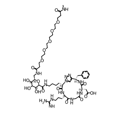 CNC(=O)CCOCCOCCOCCOCCOCCC(=O)NC[C@H]1OC(C(=O)NCCCC[C@H]2C(=O)N[C@@H](CCCNC(=N)N)C(=O)NCC(=O)N[C@@H](CC(=O)O)C(=O)N[C@@H](Cc3ccccc3)c3cn2nn3)[C@@H](O)C(O)[C@H]1O